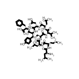 CSCC[C@H](NC(=O)[C@@H](N)CC(C)C)C(=O)N[C@@H](CC(C)C)C(=O)N[C@@H](CS)C(=O)N[C@H](C(=O)N[C@@H](CC(C)C)C(=O)N[C@@H](CC(=O)O)C(=O)N[C@@H](Cc1ccc(O)cc1)C(=O)N[C@@H](Cc1ccccc1)C(=O)O)C(C)C